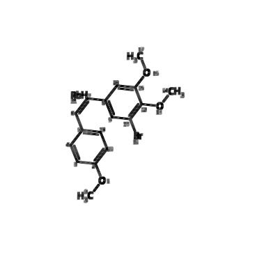 COc1ccc(/C=C\c2cc(Br)c(OC)c(OC)c2)cc1.[RbH]